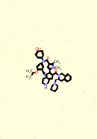 Cc1c(C(=O)N(c2ccc(O)cc2)c2ccc(OC(C)C)c(C#N)c2)cc(-c2cc3c(cc2C(=O)N2Cc4ccccc4C[C@H]2CN2CCCCC2)CNCC3)n1C